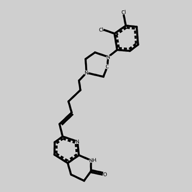 O=C1CCc2ccc(C=CCCCN3CCN(c4cccc(Cl)c4Cl)CC3)nc2N1